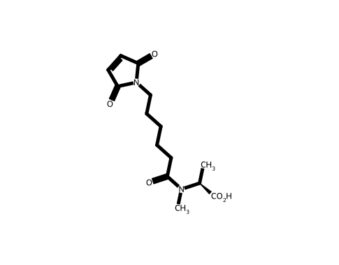 C[C@@H](C(=O)O)N(C)C(=O)CCCCCN1C(=O)C=CC1=O